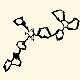 c1ccc(C2N=C(c3ccc(-c4ccc5ccccc5c4)cc3)N=C(c3ccc(-c4cccc(-n5c6ccccc6c6ccccc65)c4)cc3)N2)cc1